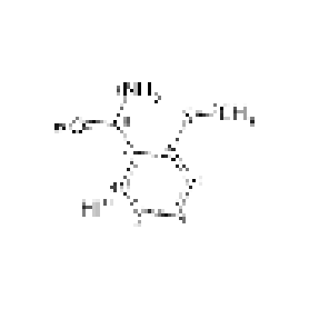 CSc1ccccc1C(N)=O.I